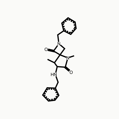 CC1C(NCc2ccccc2)C(=O)N(C)C12CN(Cc1ccccc1)C2=O